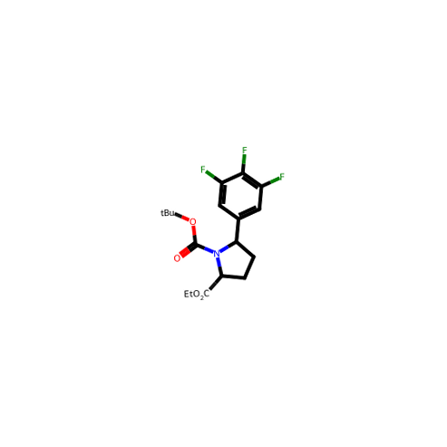 CCOC(=O)C1CCC(c2cc(F)c(F)c(F)c2)N1C(=O)OC(C)(C)C